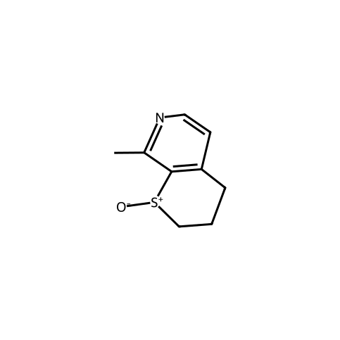 Cc1nccc2c1[S+]([O-])CCC2